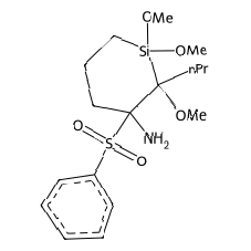 CCCC1(OC)C(N)(S(=O)(=O)c2ccccc2)CCC[Si]1(OC)OC